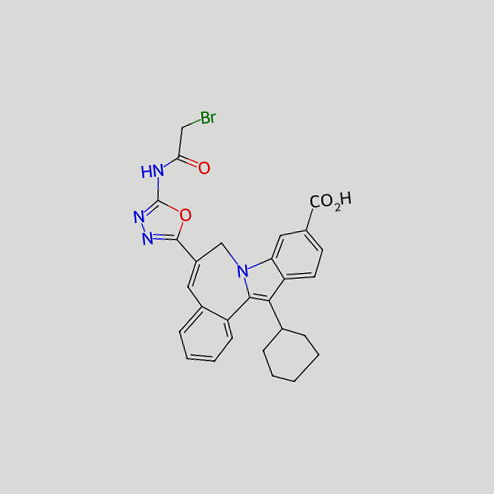 O=C(CBr)Nc1nnc(C2=Cc3ccccc3-c3c(C4CCCCC4)c4ccc(C(=O)O)cc4n3C2)o1